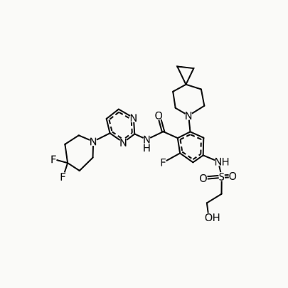 O=C(Nc1nccc(N2CCC(F)(F)CC2)n1)c1c(F)cc(NS(=O)(=O)CCO)cc1N1CCC2(CC1)CC2